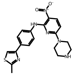 Cc1nc(-c2ccc(Nc3nc(N4CCNCC4)ccc3[N+](=O)[O-])cc2)cs1